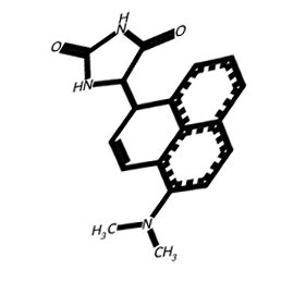 CN(C)c1ccc2cccc3c2c1C=CC3C1NC(=O)NC1=O